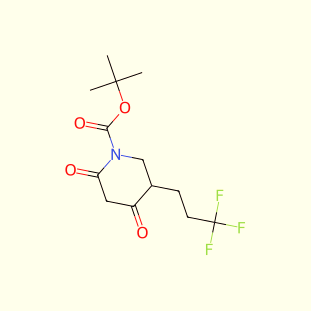 CC(C)(C)OC(=O)N1CC(CCC(F)(F)F)C(=O)CC1=O